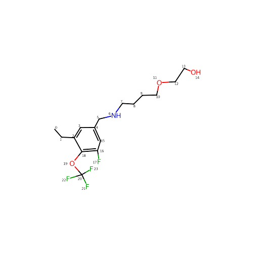 CCc1cc(CNCCCCOCCO)cc(F)c1OC(F)(F)F